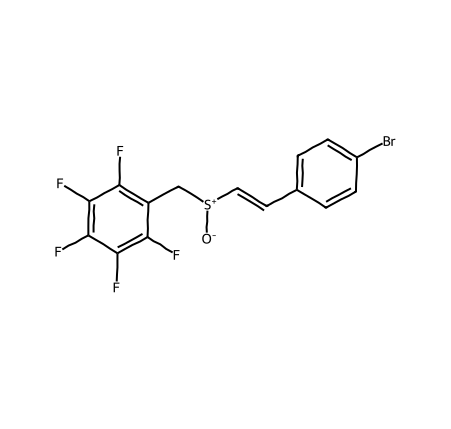 [O-][S+](C=Cc1ccc(Br)cc1)Cc1c(F)c(F)c(F)c(F)c1F